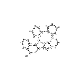 Brc1cc2c3oc4cccc5c6ccccc6c6ccccc6n(c2c2ccccc12)c3c45